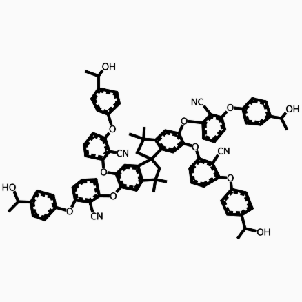 CC(O)c1ccc(Oc2cccc(Oc3cc4c(cc3Oc3cccc(Oc5ccc(C(C)O)cc5)c3C#N)C3(CC4(C)C)CC(C)(C)c4cc(Oc5cccc(Oc6ccc(C(C)O)cc6)c5C#N)c(Oc5cccc(Oc6ccc(C(C)O)cc6)c5C#N)cc43)c2C#N)cc1